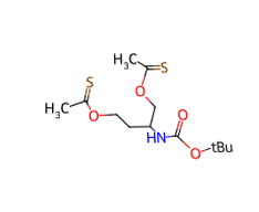 CC(=S)OCCC(COC(C)=S)NC(=O)OC(C)(C)C